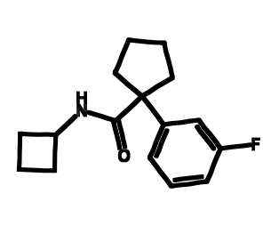 O=C(NC1CCC1)C1(c2cccc(F)c2)CCCC1